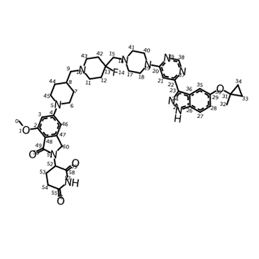 COc1cc(N2CCC(CN3CCC(F)(CN4CCN(c5cc(-c6n[nH]c7ccc(OC8(C)CC8)cc67)ncn5)CC4)CC3)CC2)cc2c1C(=O)N(C1CCC(=O)NC1=O)C2